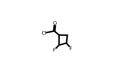 O=C(Cl)C1CC(F)C1F